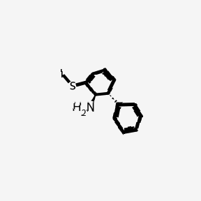 N[C@H]1C(SI)=CC=C[C@@H]1c1ccccc1